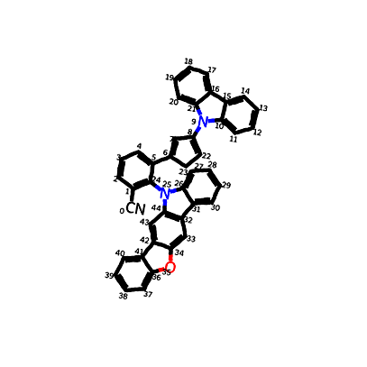 N#Cc1cccc(C2=CC(n3c4ccccc4c4ccccc43)=CC2)c1-n1c2ccccc2c2cc3oc4ccccc4c3cc21